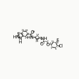 O=C(COc1ccc(Cl)c(F)c1)NC12CC(NC(=O)c3ccc4c(c3)NNS4)(C1)C2